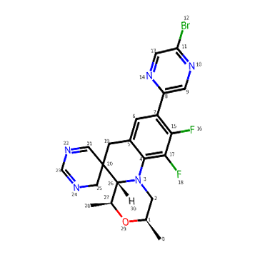 C[C@@H]1CN2c3c(cc(-c4cnc(Br)cn4)c(F)c3F)CC3(C=NC=NC3)[C@H]2[C@H](C)O1